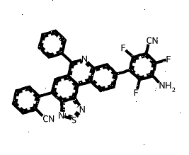 N#Cc1ccccc1-c1cc2c(-c3ccccc3)nc3cc(-c4c(F)c(N)c(F)c(C#N)c4F)ccc3c2c2nsnc12